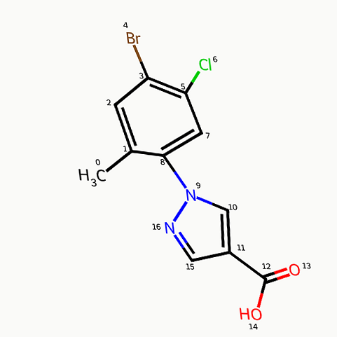 Cc1cc(Br)c(Cl)cc1-n1cc(C(=O)O)cn1